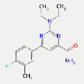 CCN(CC)c1nc(C(N)=O)cc(-c2ccc(F)c(C)c2)n1